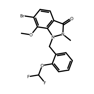 COc1c(Br)ccc2c(=O)n(C)n(Cc3ccccc3OC(F)F)c12